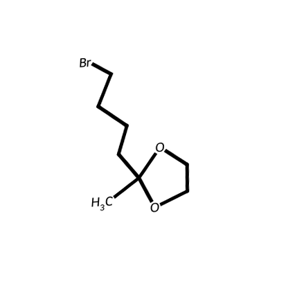 CC1(CCCCBr)OCCO1